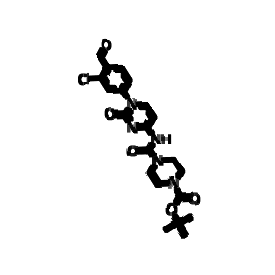 CC(C)(C)OC(=O)N1CCN(C(=O)Nc2ccn(-c3ccc(C=O)c(Cl)c3)c(=O)n2)CC1